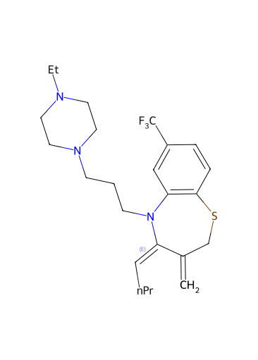 C=C1CSc2ccc(C(F)(F)F)cc2N(CCCN2CCN(CC)CC2)/C1=C/CCC